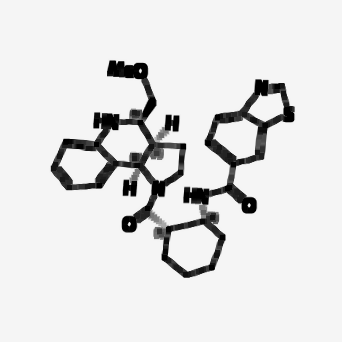 COC[C@@H]1Nc2ccccc2[C@H]2[C@@H]1CCN2C(=O)[C@H]1CCCC[C@H]1NC(=O)c1ccc2ncsc2c1